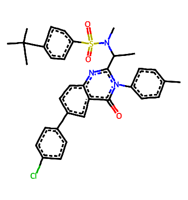 Cc1ccc(-n2c(C(C)N(C)S(=O)(=O)c3ccc(C(C)(C)C)cc3)nc3ccc(-c4ccc(Cl)cc4)cc3c2=O)cc1